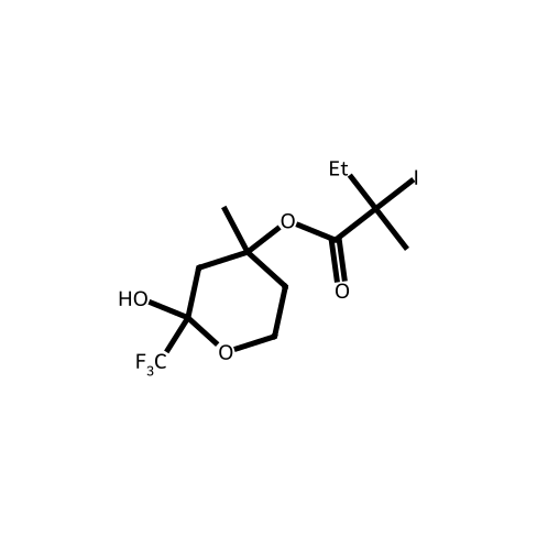 CCC(C)(I)C(=O)OC1(C)CCOC(O)(C(F)(F)F)C1